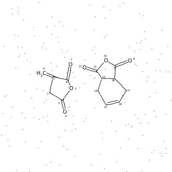 C=C1CC(=O)OC1=O.O=C1OC(=O)C2CC=CCC12